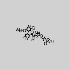 COc1cnc(Cl)cc1-c1cc(C)ncc1C(=O)Nc1nnc(OCC(C)(C)N2CCNC2=O)s1